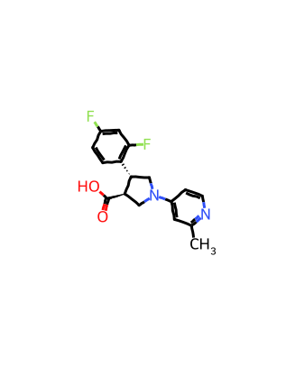 Cc1cc(N2C[C@@H](C(=O)O)[C@H](c3ccc(F)cc3F)C2)ccn1